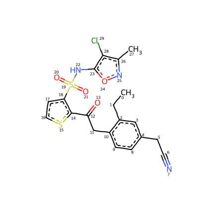 CCc1cc(CC#N)ccc1CC(=O)c1sccc1S(=O)(=O)Nc1onc(C)c1Cl